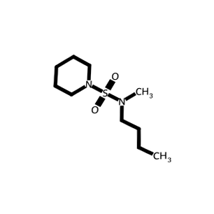 CCCCN(C)S(=O)(=O)N1CCCCC1